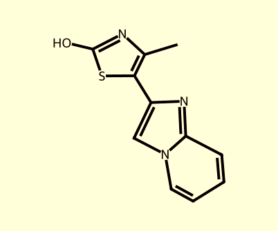 Cc1nc(O)sc1-c1cn2ccccc2n1